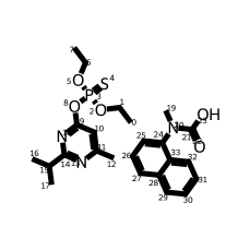 CCOP(=S)(OCC)Oc1cc(C)nc(C(C)C)n1.CN(C(=O)O)c1cccc2ccccc12